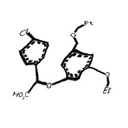 CCOc1cc(OCC)cc(OC(C(=O)O)c2ccc(Cl)cc2)c1